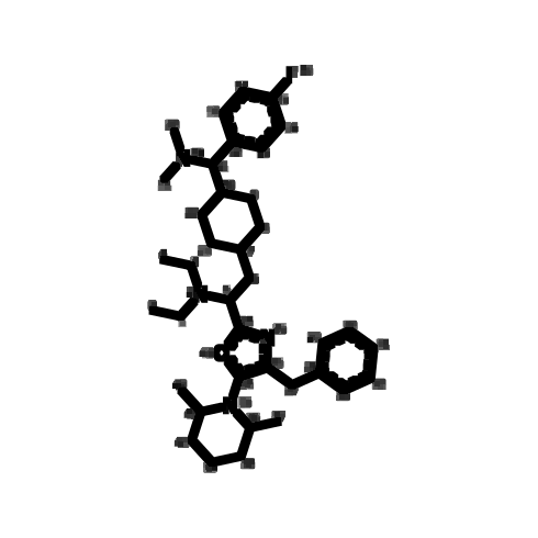 CCN(CC)C(CC1CCC(C(c2ccc(F)cc2)N(C)C)CC1)c1nc(Cc2ccccc2)c(N2C(C)CCCC2C)o1